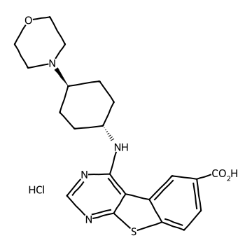 Cl.O=C(O)c1ccc2sc3ncnc(N[C@H]4CC[C@H](N5CCOCC5)CC4)c3c2c1